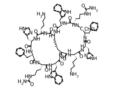 NCCCC[C@@H]1NC(=O)[C@@H]2CSS[C@H](NC(=O)[C@H](Cc3c[nH]c4ccccc34)NC(=O)[C@H](CCCNC(N)=O)NC[C@@](C=O)(Cc3ccccc3)NC(=O)[C@H](Cc3c[nH]cn3)NC1=O)C(=O)N[C@@H](CCCCN)C(=O)N[C@@H](Cc1c[nH]cn1)C(=O)N[C@H](Cc1ccccc1)C(=O)N[C@@H](CCCNC(N)=O)C(=O)N[C@@H](Cc1c[nH]c3ccccc13)C(=O)N2